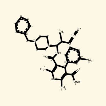 COC(=O)C1=C(C)NC(C)=C(C(=O)NC(C(C)C=C=O)N2CCN(Cc3ccccc3)CC2)C1c1cccc([N+](=O)[O-])c1